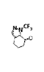 O=C1CCCc2cnn(C(F)(F)F)c21